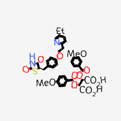 CCc1ccc(CCOc2ccc(C[C@H]3SC(=O)NC3=O)cc2)nc1.COc1ccc(C(=O)O[C@@H](C(=O)O)[C@@H](OC(=O)c2ccc(OC)cc2)C(=O)O)cc1